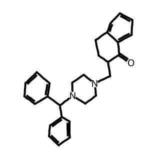 O=C1c2ccccc2CCC1CN1CCN(C(c2ccccc2)c2ccccc2)CC1